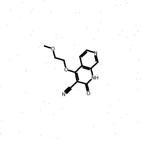 COCCOc1c(C#N)c(=O)[nH]c2cnccc12